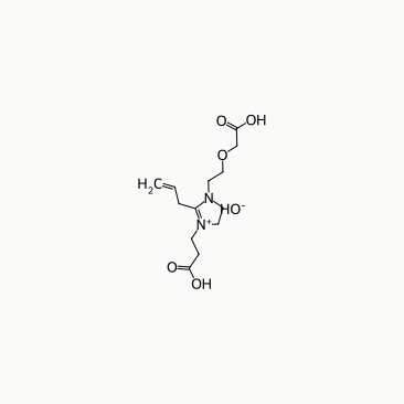 C=CCC1=[N+](CCC(=O)O)CCN1CCOCC(=O)O.[OH-]